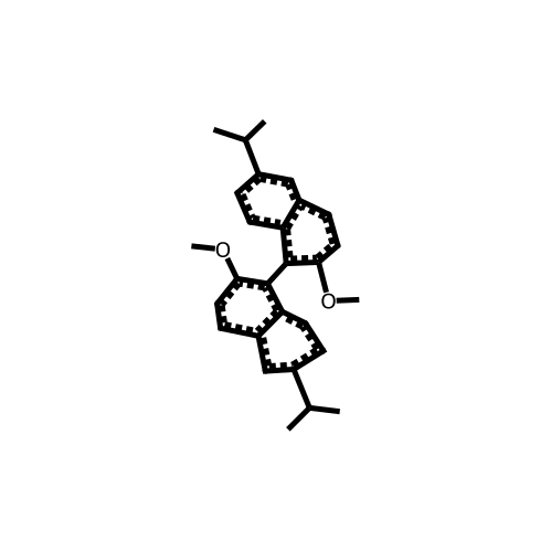 COc1ccc2cc(C(C)C)ccc2c1-c1c(OC)ccc2cc(C(C)C)ccc12